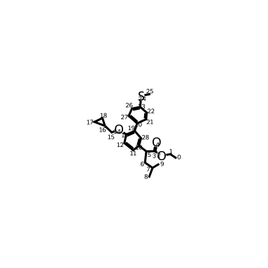 CCOC(=O)C(CC(C)C)c1ccc(OCC2CC2)c(-c2ccc(SC)cc2)c1